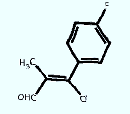 CC(C=O)=C(Cl)c1ccc(F)cc1